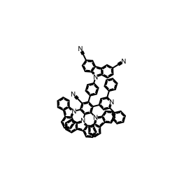 N#Cc1ccc2c(c1)c1cc(C#N)ccc1n2-c1ccc(-c2c(C#N)c(-n3c4ccccc4c4ccccc43)c(-n3c4ccccc4c4ccccc43)c(-n3c4ccccc4c4ccccc43)c2-c2cc(-c3ccccc3)nc(-c3ccccc3)c2)cc1